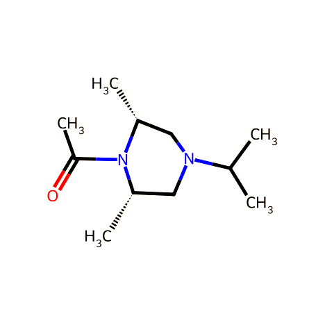 CC(=O)N1[C@H](C)CN(C(C)C)C[C@@H]1C